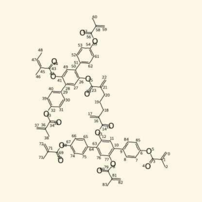 C=C(C)C(=O)Oc1ccc(-c2cc(OC(=O)C(=C)CCCC(=C)C(=O)Oc3cc(-c4ccc(OC(=O)C(=C)C)cc4)c(OC(=O)/C(C)=C\C)cc3-c3ccc(OC(=O)C(=C)C)cc3)c(-c3ccc(OC(=O)C(=C)C)cc3)cc2OC(=O)C(=C)C)cc1